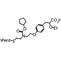 CCCCCSCCN(CCOc1ccc(CC(OCC)C(=O)O)cc1)C(=O)OC1CCCC1